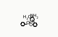 C[C@]1(N)CC[C@@H](c2ccccc2)N(C(=O)OCc2ccccc2)C1